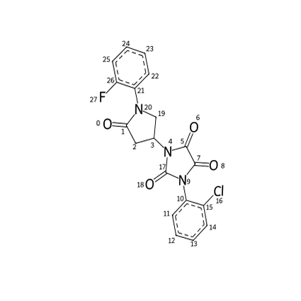 O=C1CC(N2C(=O)C(=O)N(c3ccccc3Cl)C2=O)CN1c1ccccc1F